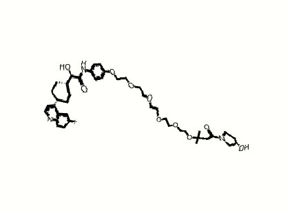 CC(C)(CC(=O)N1CC[C@@H](O)C1)OCCOCCOCCOCCOCCOc1ccc(NC(=O)[C@H](O)[C@H]2CC[C@@H](c3ccnc4ccc(F)cc43)CC2)cc1